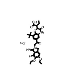 CCOc1cc2c(c(F)c1OCC)C(=N)N(CC(=O)c1cc3c(c(C(C)(C)C)c1)OC(C(CC)C(=O)O)C(=O)N3)C2.Cl